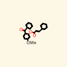 COc1ccc(C(=O)c2ccccc2)c(OC(=O)/C=C/c2ccccc2)c1